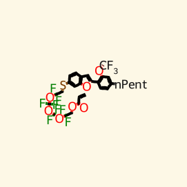 C=CC(=O)OCC(F)(F)OC(F)(F)OC(F)(F)OC(F)(F)CSc1ccc2cc(-c3ccc(CCCCC)cc3OC(F)(F)F)oc2c1